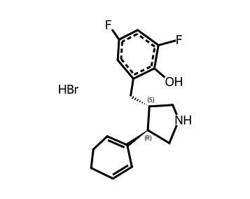 Br.Oc1c(F)cc(F)cc1C[C@@H]1CNC[C@H]1C1=CCCC=C1